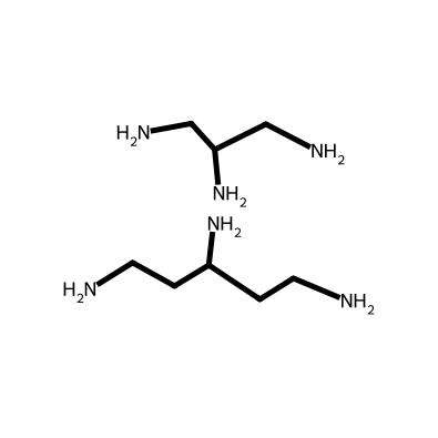 NCC(N)CN.NCCC(N)CCN